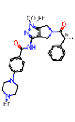 CCOC(=O)n1nc(NC(=O)c2ccc(N3CCN(CC)CC3)cc2)c2c1CN(C(=O)[C@H](C)c1ccccc1)C2